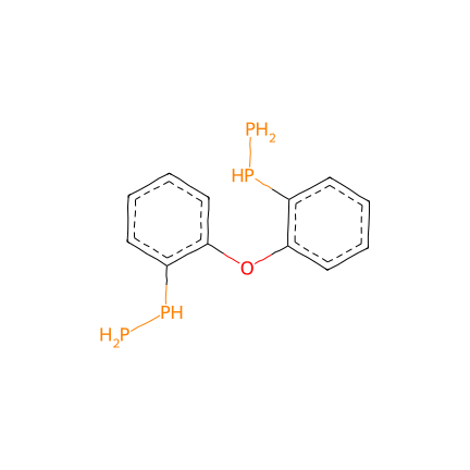 PPc1ccccc1Oc1ccccc1PP